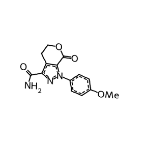 COc1ccc(-n2nc(C(N)=O)c3c2C(=O)OCC3)cc1